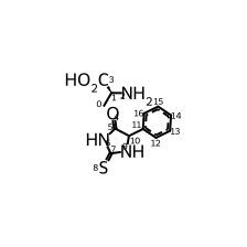 C[C@H](N)C(=O)O.O=C1NC(=S)NC1c1ccccc1